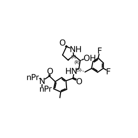 CCCN(CCC)C(=O)c1cc(C)cc(C(=O)N[C@@H](Cc2cc(F)cc(F)c2)[C@H](O)[C@H]2CCC(=O)N2)c1